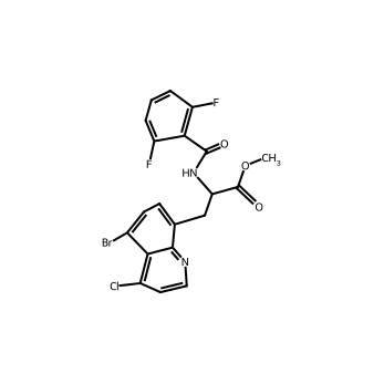 COC(=O)C(Cc1ccc(Br)c2c(Cl)ccnc12)NC(=O)c1c(F)cccc1F